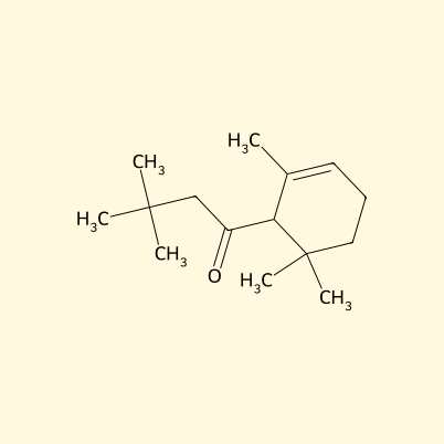 CC1=CCCC(C)(C)C1C(=O)CC(C)(C)C